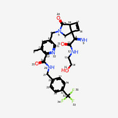 Cc1cc(CN2CC3(C(=N)C(=O)NCCO)C=CC3C2=O)cnc1C(=O)NCc1ccc(C(F)(F)F)cc1